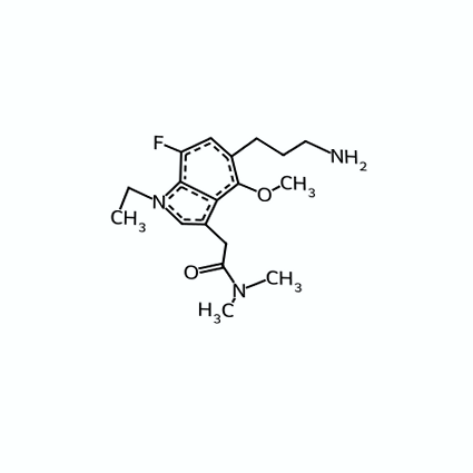 CCn1cc(CC(=O)N(C)C)c2c(OC)c(CCCN)cc(F)c21